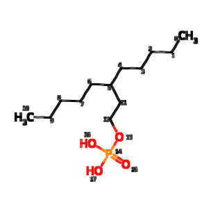 CCCCCC(CCCCC)CCOP(=O)(O)O